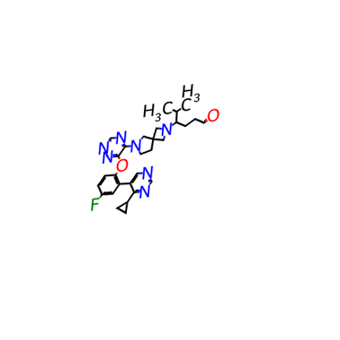 CC(C)C(CCC=O)N1CC2(CCN(c3ncnnc3Oc3ccc(F)cc3-c3cncnc3C3CC3)C2)C1